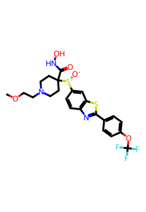 COCCN1CCC(C(=O)NO)([S+]([O-])c2ccc3nc(-c4ccc(OC(F)(F)F)cc4)sc3c2)CC1